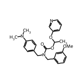 COc1cccc(CN(Cc2ccc(N(C)C)cc2)C(=O)OC(C)Oc2cccnc2)c1